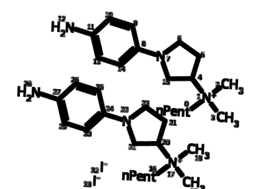 CCCCC[N+](C)(C)C1CCN(c2ccc(N)cc2)C1.CCCCC[N+](C)(C)C1CCN(c2ccc(N)cc2)C1.[I-].[I-]